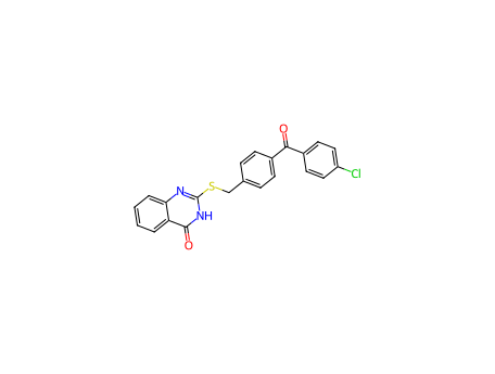 O=C(c1ccc(Cl)cc1)c1ccc(CSc2nc3ccccc3c(=O)[nH]2)cc1